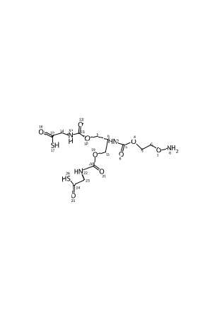 NOCCOC(=O)NC(COC(=O)NCC(=O)S)COC(=O)NCC(=O)S